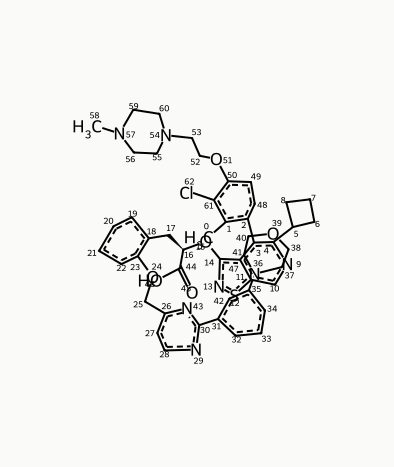 Cc1c(-c2c(C3CCC3)ncc3snc(O[C@H](Cc4ccccc4OCc4ccnc(-c5cccc(N6CCOCC6)c5)n4)C(=O)O)c23)ccc(OCCN2CCN(C)CC2)c1Cl